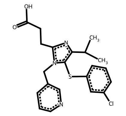 CC(C)c1nc(CCC(=O)O)n(Cc2cccnc2)c1Sc1cccc(Cl)c1